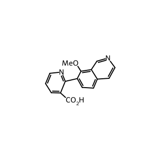 COc1c(-c2ncccc2C(=O)O)ccc2ccncc12